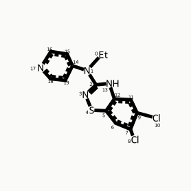 CCN(C1=NSc2cc(Cl)c(Cl)cc2N1)c1ccncc1